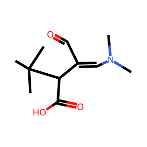 CN(C)C=C(C=O)C(C(=O)O)C(C)(C)C